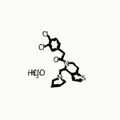 Cl.O.O=C(Cc1ccc(Cl)c(Cl)c1)N1CCc2sccc2C1CN1CC=CC1